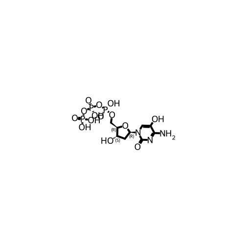 Nc1nc(=O)n([C@H]2C[C@H](O)[C@@H](COP(=O)(O)OP(=O)(O)OP(=O)(O)O)O2)cc1O